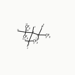 CC(F)(C(F)(F)F)C(C)(C(F)(F)C(F)(F)F)C(C)(C(F)(F)F)C(F)(F)F